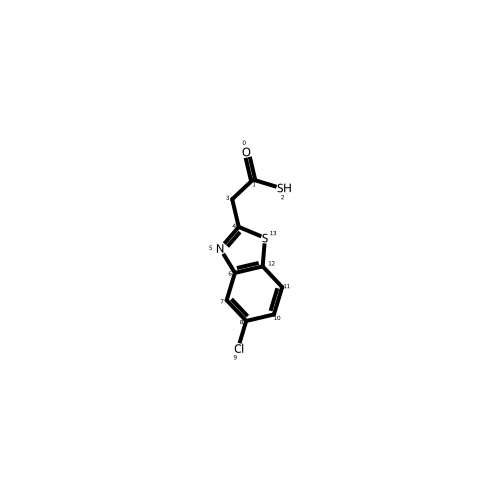 O=C(S)Cc1nc2cc(Cl)ccc2s1